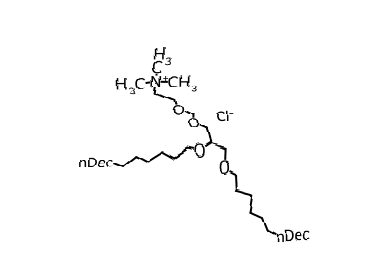 CCCCCCCCCCCCCCCCOC[C@H](COCOCC[N+](C)(C)C)OCCCCCCCCCCCCCCCC.[Cl-]